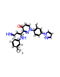 Cc1cc(-n2cccn2)ccc1-n1ccc(=O)c(/C(=C/C=N)Nc2cccc(C(F)(F)F)c2)n1